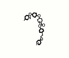 Cc1ccc(Oc2ccc(OC3CCN(C(=O)Oc4ccc(CCOc5ccncc5)cc4)CC3)cc2)nc1